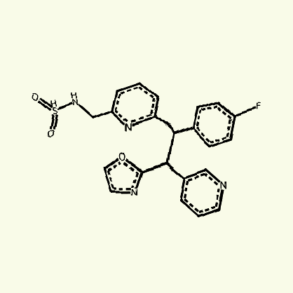 O=[SH](=O)NCc1cccc(C(c2ccc(F)cc2)C(c2cccnc2)c2ncco2)n1